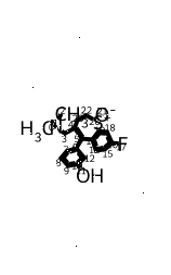 CN(C)CC1=C(c2cccc(O)c2)c2ccc(F)cc2[S+]([O-])CC1